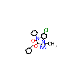 Cc1nnc2n1-c1ccc(Cl)cc1N(c1ccccc1)C(=O)C2OCc1ccccc1